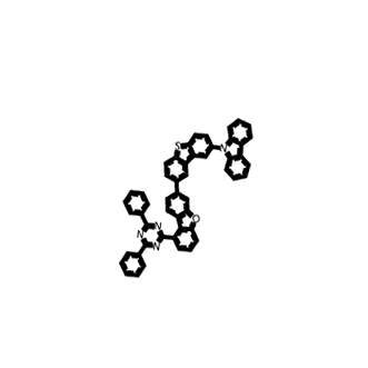 c1ccc(-c2nc(-c3ccccc3)nc(-c3cccc4oc5cc(-c6ccc7sc8ccc(-n9c%10ccccc%10c%10ccccc%109)cc8c7c6)ccc5c34)n2)cc1